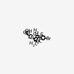 Cc1cc(N2CCC(CS(=O)(=O)O)CC2)c2c(C)cn(-c3c(C)cc(Br)cc3C)c2n1